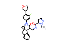 Cn1nccc1C(=O)/N=C\C(C(=O)Nc1ccc(C2CCOC2)c(F)c1)C1c2ccccc2CC12CC2